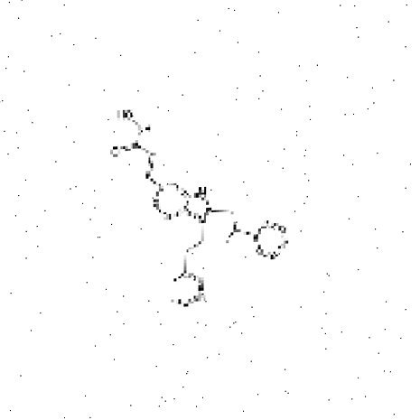 CC(Cc1nc2cc(C=CC(=O)NO)ccc2n1CCc1cccnc1)c1ccccc1